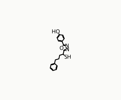 Oc1ccc(-c2nnc(C(S)CCCc3ccccc3)o2)cc1